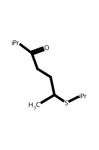 CC(C)SC(C)CCC(=O)C(C)C